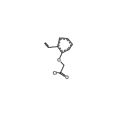 C=Cc1ccccc1OCC(=O)Cl